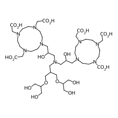 O=C(O)CN1CCN(CC(=O)O)CCN(CC(O)CN(CC(O)CN2CCN(CC(=O)O)CCN(CC(=O)O)CCN(C(=O)O)CC2)CC(COC(CO)CO)COC(CO)CO)CCN(CC(=O)O)CC1